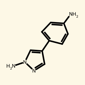 Nc1ccc(-c2cnn(N)c2)cc1